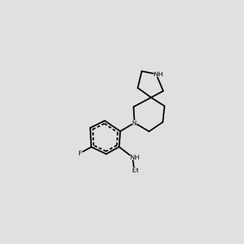 CCNc1cc(F)ccc1N1CCCC2(CCNC2)C1